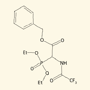 CCOP(=O)(OCC)C(NC(=O)C(F)(F)F)C(=O)OCc1ccccc1